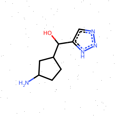 NC1CCC(C(O)c2cnn[nH]2)C1